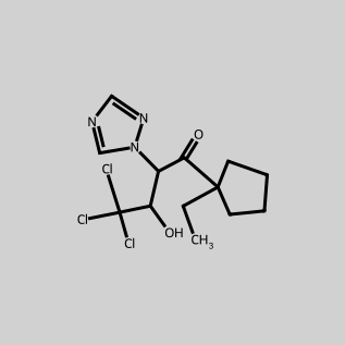 CCC1(C(=O)C(C(O)C(Cl)(Cl)Cl)n2cncn2)CCCC1